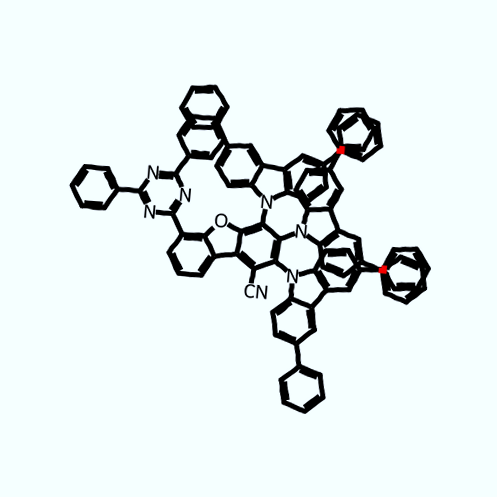 N#Cc1c(-n2c3ccc(-c4ccccc4)cc3c3cc(-c4ccccc4)ccc32)c(-n2c3ccc(-c4ccccc4)cc3c3cc(-c4ccccc4)ccc32)c(-n2c3ccc(-c4ccccc4)cc3c3cc(-c4ccccc4)ccc32)c2oc3c(-c4nc(-c5ccccc5)nc(-c5ccccc5)n4)cccc3c12